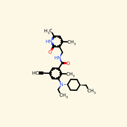 C#Cc1cc(C(=O)NCc2c(C)cc(C)[nH]c2=O)c(C)c(N(CC)[C@H]2CC[C@H](CC)CC2)c1